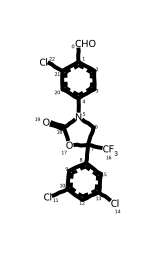 O=Cc1ccc(N2CC(c3cc(Cl)cc(Cl)c3)(C(F)(F)F)OC2=O)cc1Cl